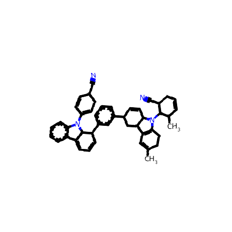 CC1=CC2=C(CC1)N(C1C(C)C=CCC1C#N)C1C=CC(c3cccc(C4C=CC=C5c6ccccc6N(C6=CCC(C#N)C=C6)C54)c3)CC21